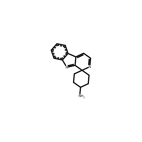 NC1CCC2(CC1)N=CC=C1C2=Nc2ccccc21